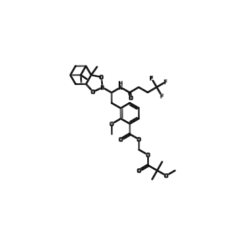 COc1c(CC(NC(=O)CCC(F)(F)F)B2OC3CC4CC(C4(C)C)C3(C)O2)cccc1C(=O)OCOC(=O)C(C)(C)OC